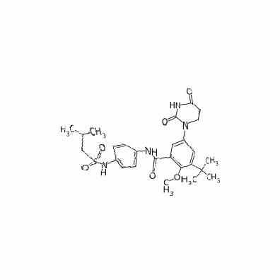 COc1c(C(=O)Nc2ccc(NS(=O)(=O)CC(C)C)cc2)cc(N2CCC(=O)NC2=O)cc1C(C)(C)C